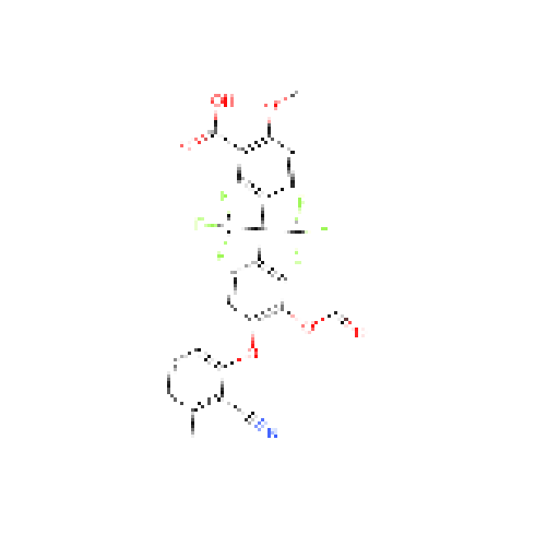 COc1ccc(C(c2ccc(Oc3cccc(C)c3C#N)c(OC=O)c2)(C(F)(F)F)C(F)(F)F)cc1C(=O)O